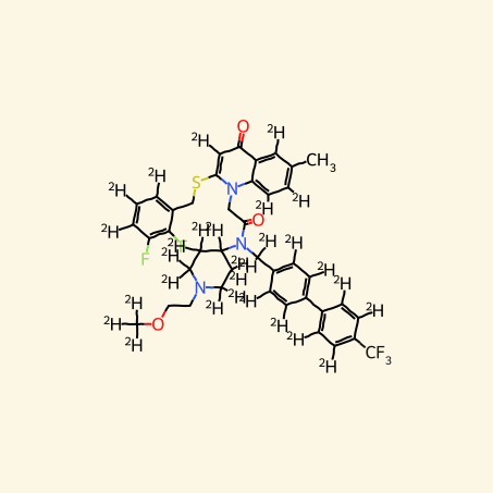 [2H]c1c([2H])c(F)c(F)c(CSc2c([2H])c(=O)c3c([2H])c(C)c([2H])c([2H])c3n2CC(=O)N(C([2H])([2H])c2c([2H])c([2H])c(-c3c([2H])c([2H])c(C(F)(F)F)c([2H])c3[2H])c([2H])c2[2H])C2([2H])C([2H])([2H])C([2H])([2H])N(CCOC([2H])([2H])[2H])C([2H])([2H])C2([2H])[2H])c1[2H]